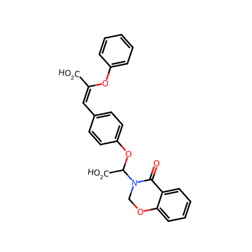 O=C(O)C(=Cc1ccc(OC(C(=O)O)N2COc3ccccc3C2=O)cc1)Oc1ccccc1